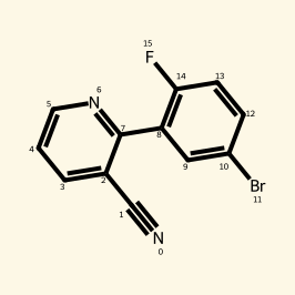 N#Cc1cccnc1-c1cc(Br)ccc1F